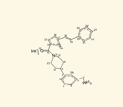 Cl.NCc1cccc(C2CCN(C(=O)c3ccc(C=Cc4ccccc4)s3)CC2)c1